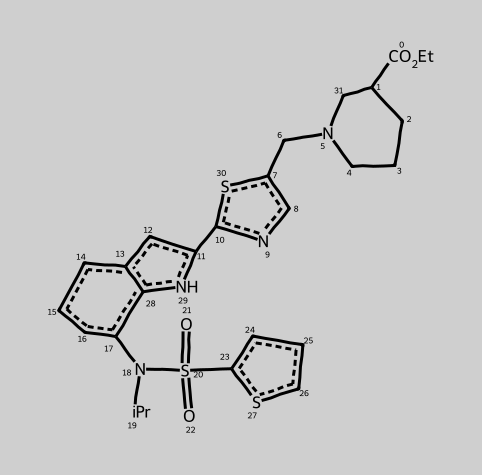 CCOC(=O)C1CCCN(Cc2cnc(-c3cc4cccc(N(C(C)C)S(=O)(=O)c5cccs5)c4[nH]3)s2)C1